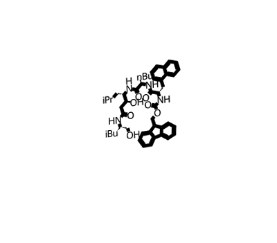 CCCC[C@H](NC(=O)[C@H](Cc1cccc2ccccc12)NC(=O)OCC1c2ccccc2-c2ccccc21)C(=O)N[C@@H](CC(C)C)[C@@H](O)CC(=O)N[C@H](CO)[C@@H](C)CC